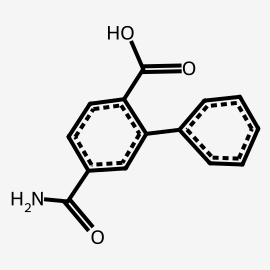 NC(=O)c1ccc(C(=O)O)c(-c2ccccc2)c1